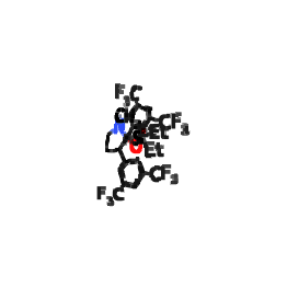 CC[Si](CC)(CC)O[C@@]1(c2cc(C(F)(F)F)cc(C(F)(F)F)c2)C(c2cc(C(F)(F)F)cc(C(F)(F)F)c2)CCN1C